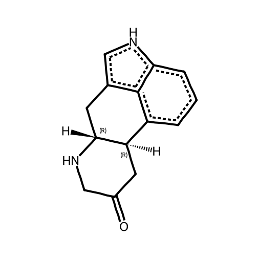 O=C1CN[C@@H]2Cc3c[nH]c4cccc(c34)[C@H]2C1